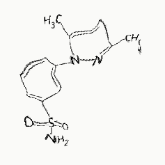 Cc1cc(C)n(-c2cccc(S(N)(=O)=O)c2)n1